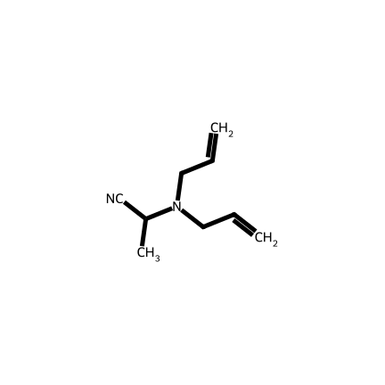 C=CCN(CC=C)C(C)C#N